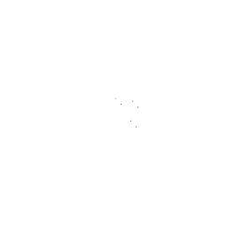 Cc1ccc2c(c1)NNN2C